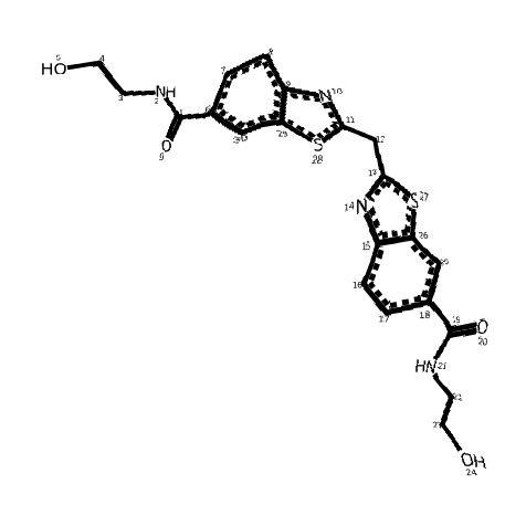 O=C(NCCO)c1ccc2nc(Cc3nc4ccc(C(=O)NCCO)cc4s3)sc2c1